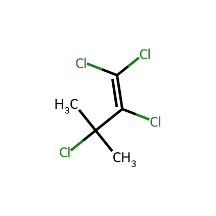 CC(C)(Cl)C(Cl)=C(Cl)Cl